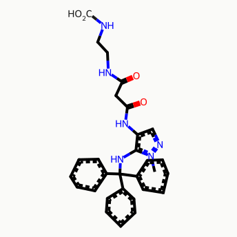 Cn1ncc(NC(=O)CC(=O)NCCNC(=O)O)c1NC(c1ccccc1)(c1ccccc1)c1ccccc1